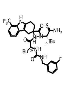 CCC(C)[C@H](NC(=O)NCc1cccc(F)c1)C(=O)NC1(C(=O)NC(C(N)=S)[C@@H](C)CC)CCc2[nH]c3c(C(F)(F)F)cccc3c2C1